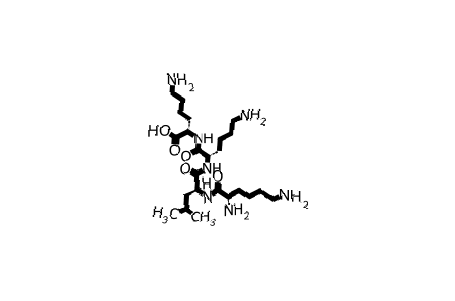 CC(C)C[C@H](NC(=O)[C@@H](N)CCCCN)C(=O)N[C@@H](CCCCN)C(=O)N[C@@H](CCCCN)C(=O)O